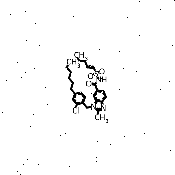 CCCC=CS(=O)(=O)NC(=O)c1ccc2nc(C)n(Cc3ccc(CCCCCC)cc3Cl)c2c1